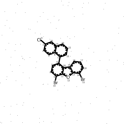 Clc1ccc2c(-c3ccc(Br)c4oc5c(Br)cccc5c34)cccc2c1